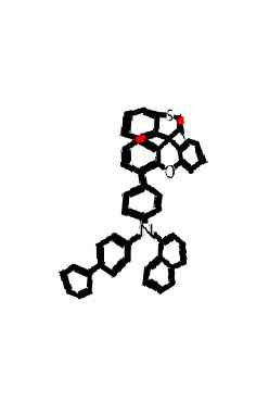 c1ccc(-c2ccc(N(c3ccc(-c4cccc5c4Oc4ccccc4C54c5ccccc5Sc5ccccc54)cc3)c3cccc4ccccc34)cc2)cc1